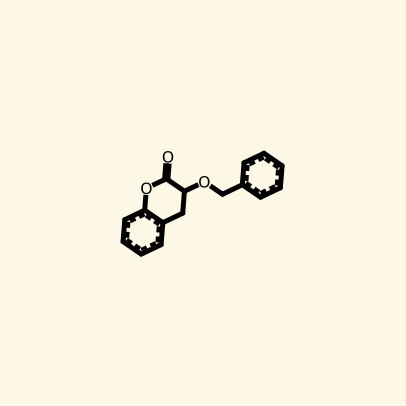 O=C1Oc2ccccc2CC1OCc1ccccc1